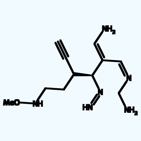 C#CC(CCNOC)[C@H](N=N)C(/C=N\CN)=C/N